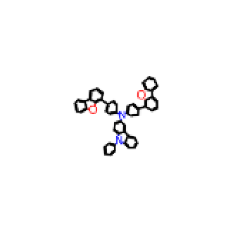 c1ccc(-n2c3ccccc3c3cc(N(c4ccc(-c5cccc6c5oc5ccccc56)cc4)c4ccc(-c5cccc6c5oc5ccccc56)cc4)ccc32)cc1